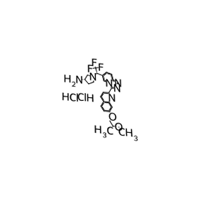 CO[C@@H](C)COc1ccc2ccc(-c3nnc4ccc([C@@H](N5CC[C@H](N)C5)C(F)(F)F)cn34)nc2c1.Cl.Cl